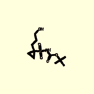 CC(C)(C)OC(=O)NS(=O)(=O)C1(CCCO)CC1